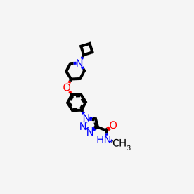 CNC(=O)c1cn(-c2ccc(OC3CCN(C4CCC4)CC3)cc2)nn1